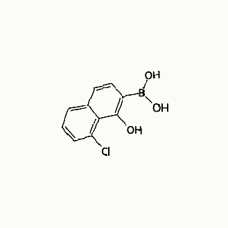 OB(O)c1ccc2cccc(Cl)c2c1O